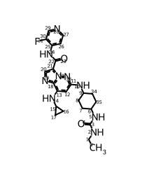 CCNC(=O)NC1CCC(Nc2cc(NC3CC3)c3ncc(C(=O)Nc4ccncc4F)n3n2)CC1